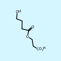 O=C(O)CCOC(=O)CCCO